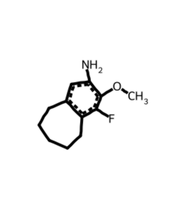 COc1c(N)cc2c(c1F)CCCCC2